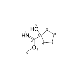 COC(=N)C1(O)CCCC1